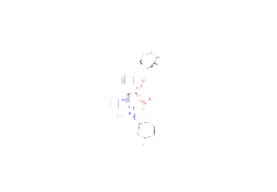 CC(C)C[C@H](NC(=O)Nc1ccccc1)C(=O)OCc1ccccc1